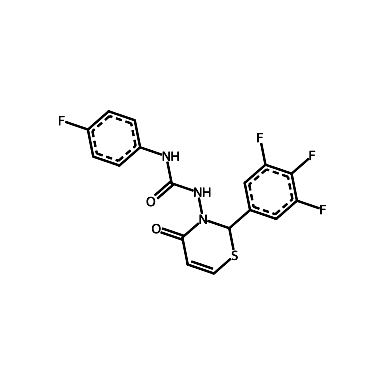 O=C(Nc1ccc(F)cc1)NN1C(=O)C=CSC1c1cc(F)c(F)c(F)c1